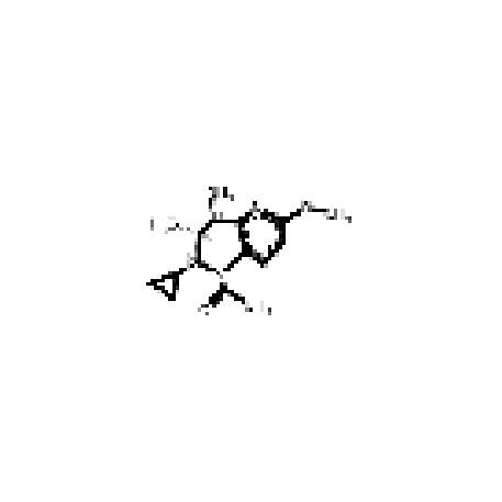 COc1ccc2c(n1)[C@H](N)[C@@H](C)[C@H](C1CC1)N2C(C)=O